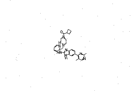 Cc1ncc(C)c(-c2ccc3nc(NC4(CN5CCN(C(=O)C6CCC6)CC5)C=CC=CN4)[nH]c3c2)n1